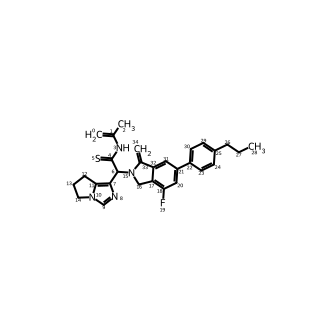 C=C(C)NC(=S)C(c1ncn2c1CCC2)N1Cc2c(F)cc(-c3ccc(CCC)cc3)cc2C1=C